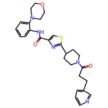 O=C(Nc1ccccc1N1CCOCC1)c1csc(C2CCN(C(=O)CCc3cccnc3)CC2)n1